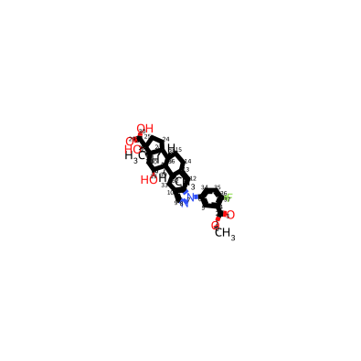 COC(=O)c1cc(-n2ncc3c2C=C2CC[C@@H]4[C@H]([C@@H](O)C[C@@]5(C)[C@H]4CC[C@]5(O)C(=O)O)[C@@]2(C)C3)ccc1F